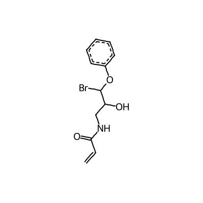 C=CC(=O)NCC(O)C(Br)Oc1ccccc1